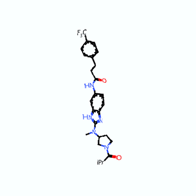 CC(C)C(=O)N1CCC(N(C)c2nc3ccc(NC(=O)CCc4ccc(C(F)(F)F)cc4)cc3[nH]2)C1